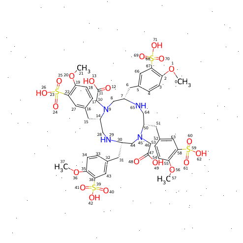 COc1ccc(C[C@H]2CN(CC(=O)O)[C@@H](Cc3ccc(OC)c(S(=O)(=O)O)c3)CN[C@@H](Cc3ccc(OC)c(S(=O)(=O)O)c3)CN(CC(=O)O)[C@@H](Cc3ccc(OC)c(S(=O)(=O)O)c3)CN2)cc1S(=O)(=O)O